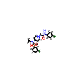 O=C(CN1CCC(N(C2CC2)S(=O)(=O)c2cccc(F)c2)CC1)Nc1ccc(F)cc1